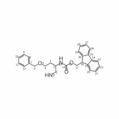 [NH]CC(CCOCc1ccccc1)NC(=O)OCC1c2ccccc2-c2ccccc21